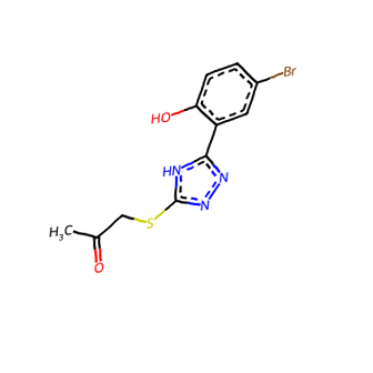 CC(=O)CSc1nnc(-c2cc(Br)ccc2O)[nH]1